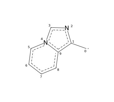 [CH2]c1ncn2ccccc12